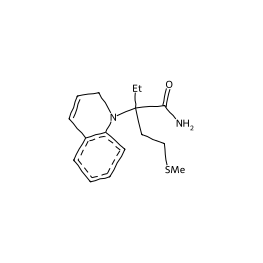 CCC(CCSC)(C(N)=O)N1CC=Cc2ccccc21